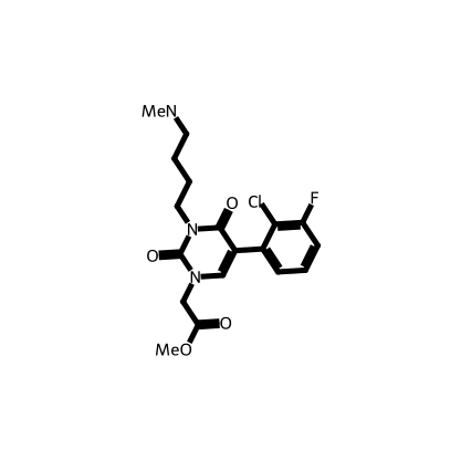 CNCCCCn1c(=O)c(-c2cccc(F)c2Cl)cn(CC(=O)OC)c1=O